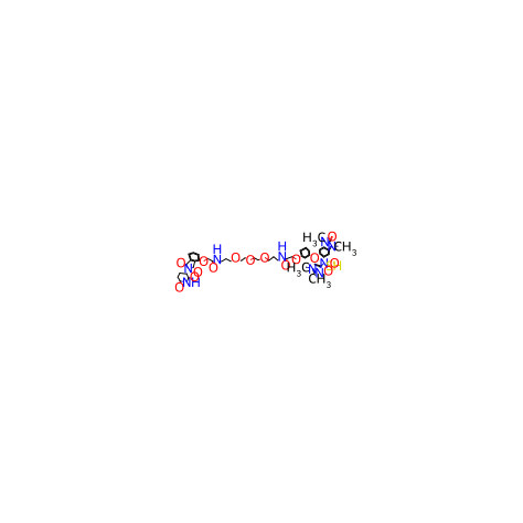 Cc1nc(N(c2cc3c(cc2Oc2cccc(OCC(=O)NCCCOCCOCCOCCCNC(=O)COc4cccc5c4C(=O)N(C4CCC(=O)NC4=O)C5=O)c2)n(C)c(=O)n3C)[SH](=O)=O)cn1C